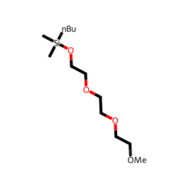 CCCC[Si](C)(C)OCCOCCOCCOC